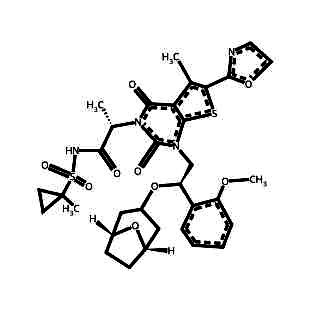 COc1ccccc1[C@H](Cn1c(=O)n([C@@H](C)C(=O)NS(=O)(=O)C2(C)CC2)c(=O)c2c(C)c(-c3ncco3)sc21)OC1C[C@H]2CC[C@@H](C1)O2